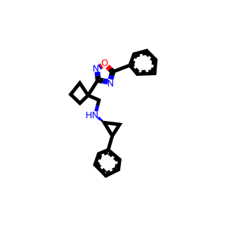 c1ccc(-c2nc(C3(CN[C@H]4CC4c4ccccc4)CCC3)no2)cc1